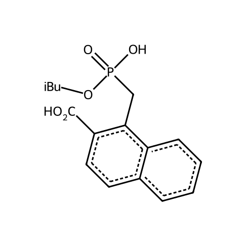 CCC(C)OP(=O)(O)Cc1c(C(=O)O)ccc2ccccc12